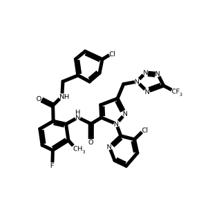 Cc1c(F)ccc(C(=O)NCc2ccc(Cl)cc2)c1NC(=O)c1cc(Cn2nnc(C(F)(F)F)n2)nn1-c1ncccc1Cl